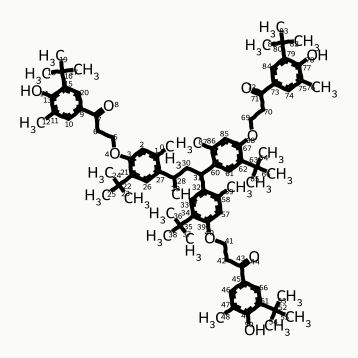 Cc1cc(OCCC(=O)c2cc(C)c(O)c(C(C)(C)C)c2)c(C(C)(C)C)cc1C(C)CC(c1cc(C(C)(C)C)c(OCCC(=O)c2cc(C)c(O)c(C(C)(C)C)c2)cc1C)c1cc(C(C)(C)C)c(OCCC(=O)c2cc(C)c(O)c(C(C)(C)C)c2)cc1C